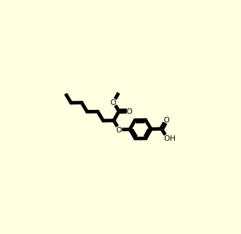 CCCCCCC(Oc1ccc(C(=O)O)cc1)C(=O)OC